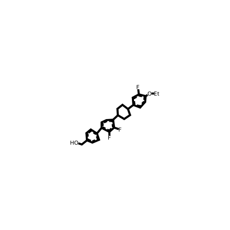 CCOc1ccc(C2CCC(c3ccc(-c4ccc(CO)cc4)c(F)c3F)CC2)cc1F